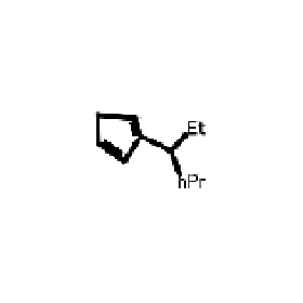 CCCC(CC)C1=[C]CC=C1